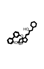 O=C(O)CC1(Oc2cccc(-c3ccccc3)c2)C(O)CCC1C=CC(O)CC1CCCCC1